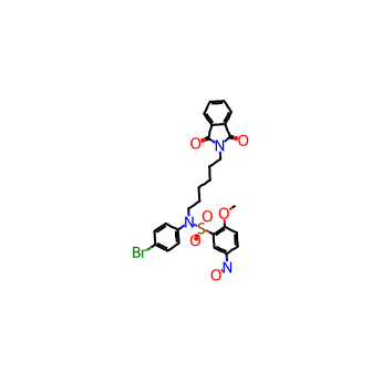 COc1ccc(N=O)cc1S(=O)(=O)N(CCCCCCN1C(=O)c2ccccc2C1=O)c1ccc(Br)cc1